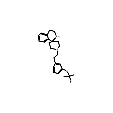 FC(F)(F)Oc1cccc(CCN2CCC3(CC2)NCCc2ccccc23)c1